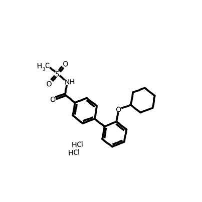 CS(=O)(=O)NC(=O)c1ccc(-c2ccccc2OC2CCCCC2)cc1.Cl.Cl